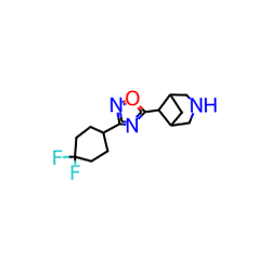 FC1(F)CCC(c2noc(C3C4CNCC3C4)n2)CC1